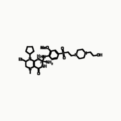 CCC1CN(C)C2=C(N[C@](N)(Nc3ccc(S(=O)(=O)CCN4CCN(CCO)CC4)cc3OC)NC2=O)N1C1CCCC1